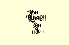 CC(COCC(COCC(C)NC(=O)c1ccc(B(O)O)cc1)OCC(C)NC(=O)c1ccc(B(O)O)cc1)NC(=O)c1ccc(B(O)O)cc1